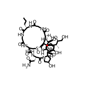 CCC[C@@H]1NC(=O)CNC(=O)[C@@H]2Cc3c([nH]c4cc(O)ccc34)[S+]([O-])C[C@H](NC(=O)CNC1=O)C(=O)N[C@@H](CC(N)=O)C(=O)N1C[C@H](O)C[C@H]1C(=O)N[C@@H]([C@@H](C)[C@@H](O)CO)C(=O)N2